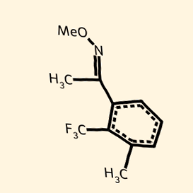 CO/N=C(\C)c1cccc(C)c1C(F)(F)F